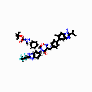 Cc1cc2[nH]c(C(C)C)nc2cc1-c1ccc(C[C@H](N)C(=O)N(c2ccc3nc(C(F)(F)C(F)(F)F)[nH]c3c2)C(=O)[C@H]2CC[C@H](CNC(=O)OC(C)(C)C)CC2)cc1